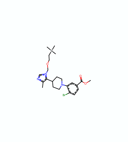 COC(=O)c1ccc(Br)c(N2CCC(c3c(C)ncn3COCC[Si](C)(C)C)CC2)c1